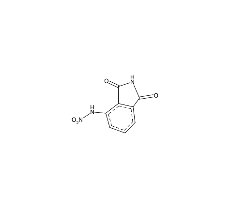 O=C1NC(=O)c2c(N[N+](=O)[O-])cccc21